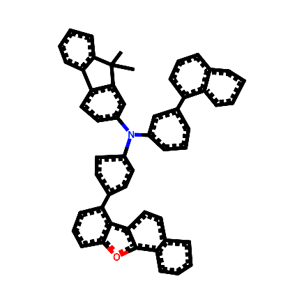 CC1(C)c2ccccc2-c2ccc(N(c3ccc(-c4cccc5oc6c7ccccc7ccc6c45)cc3)c3cccc(-c4cccc5ccccc45)c3)cc21